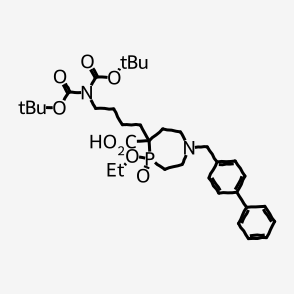 CCOP1(=O)CCN(Cc2ccc(-c3ccccc3)cc2)CCC1(CCCCN(C(=O)OC(C)(C)C)C(=O)OC(C)(C)C)C(=O)O